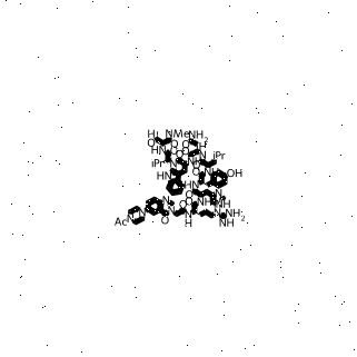 CNC(=O)[C@@H](NC(=O)[C@@H](NC(=O)C(Cc1c[nH]c2ccccc12)NC(=O)[C@H](CC(N)=O)NC(=O)C(CC(C)C)NC(=O)[C@H](Cc1ccc(O)cc1)NC(=O)C(Cc1c[nH]cn1)NC(=O)[C@H](CCCNC(=N)N)NC(=O)Cn1cnc2ccc(N3CCN(C(C)=O)CC3)cc2c1=O)C(C)C)[C@@H](C)O